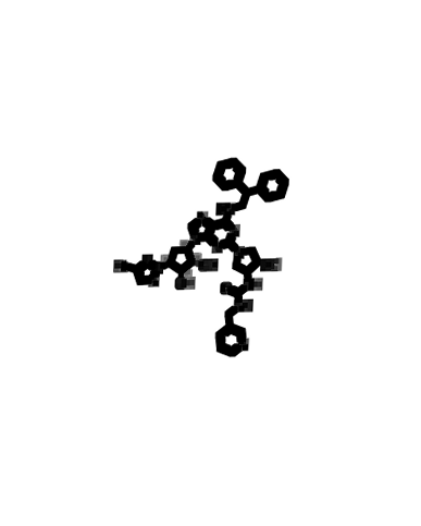 CCc1cnn([C@H]2C[C@@H](n3cnc4c(NCC(c5ccccc5)c5ccccc5)nc(N5CCC(NC(=O)NCc6cccnc6)C5)nc43)[C@H](O)[C@@H]2O)n1.Cl